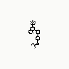 COC(=O)C1CC1c1ccc(-c2cccc(-c3cc(C(C)(C)S(C)(=O)=O)cc4cccnc34)c2)cc1